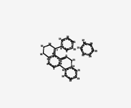 C1=c2c(ccc3c2=C(c2ccccc2)CCC3)-c2ccccc2C1.c1ccncc1